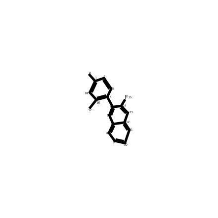 Cc1ccc(-c2cc3ccccc3cc2F)c(C)c1